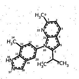 Cc1ccc2cc(C(C)C)n(-c3cc(C)c4[nH]ncc4c3)c2n1